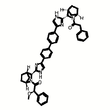 CO[C@@H](C(=O)N1[C@@H]2CC[C@@H](C2)[C@H]1c1nc(-c2ccc(-c3ccc(-c4c[nH]c([C@@H]5[C@H]6CC[C@H](C6)N5C(=O)Cc5ccccc5)n4)cc3)cc2)c[nH]1)c1ccccc1